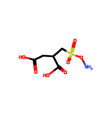 NOS(=O)(=O)CC(CC(=O)O)C(=O)O